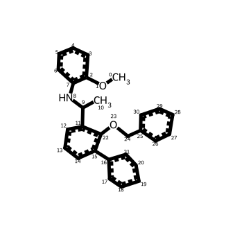 COc1ccccc1NC(C)c1cccc(-c2ccccc2)c1OCc1ccccc1